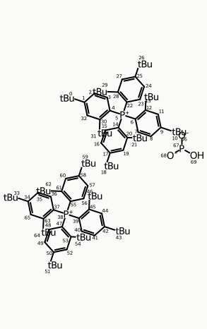 CC(C)(C)c1ccc([P+](c2ccc(C(C)(C)C)cc2C(C)(C)C)(c2ccc(C(C)(C)C)cc2C(C)(C)C)c2ccc(C(C)(C)C)cc2C(C)(C)C)c(C(C)(C)C)c1.CC(C)(C)c1ccc([P+](c2ccc(C(C)(C)C)cc2C(C)(C)C)(c2ccc(C(C)(C)C)cc2C(C)(C)C)c2ccc(C(C)(C)C)cc2C(C)(C)C)c(C(C)(C)C)c1.[O-]P([O-])O